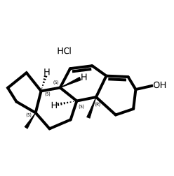 C[C@@]12CCC[C@H]1[C@@H]1C=CC3=CC(O)CC[C@]3(C)[C@H]1CC2.Cl